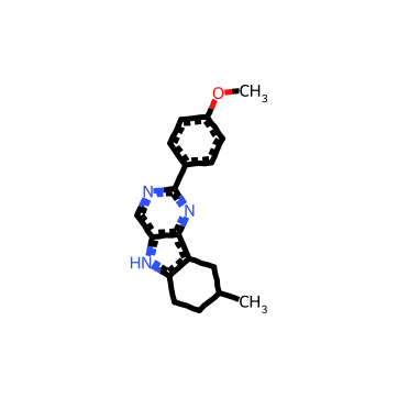 COc1ccc(-c2ncc3[nH]c4c(c3n2)CC(C)CC4)cc1